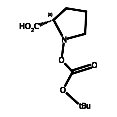 CC(C)(C)OC(=O)ON1CCC[C@H]1C(=O)O